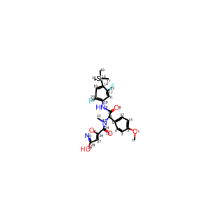 COc1ccc([C@H](C(=O)Nc2cc(F)c([Si](C)(C)C)cc2F)N(C)C(=O)c2cc(O)no2)cc1